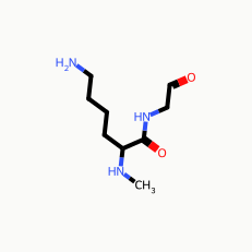 CNC(CCCCN)C(=O)NCC=O